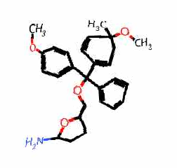 COc1ccc(C(OCC2CCC(N)O2)(C2=CCC(C)(OC)C=C2)c2ccccc2)cc1